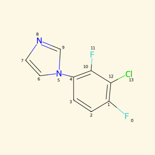 Fc1ccc(-n2ccnc2)c(F)c1Cl